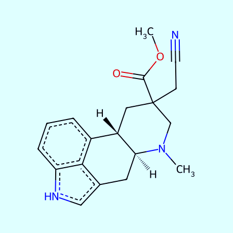 COC(=O)C1(CC#N)C[C@H]2c3cccc4[nH]cc(c34)C[C@@H]2N(C)C1